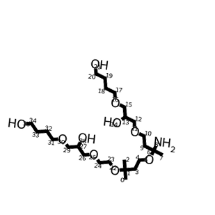 CC(C)(CCOC(C)(N)CCOCC(O)COCCCCO)OCCOCC(O)COCCCCO